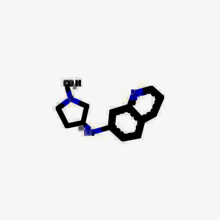 O=C(O)N1CC[C@H](Nc2ccc3cccnc3c2)C1